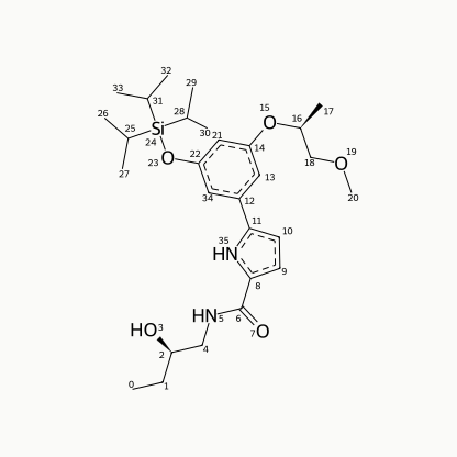 CC[C@@H](O)CNC(=O)c1ccc(-c2cc(O[C@@H](C)COC)cc(O[Si](C(C)C)(C(C)C)C(C)C)c2)[nH]1